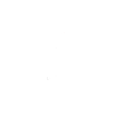 CCC(C)(C)OCCCCCC[O]